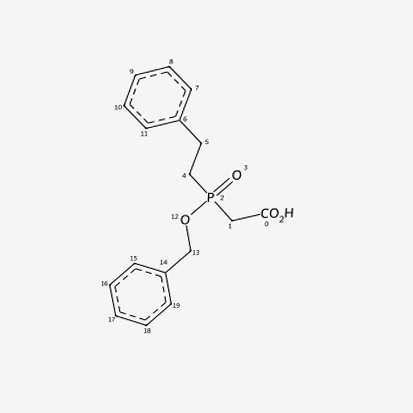 O=C(O)CP(=O)(CCc1ccccc1)OCc1ccccc1